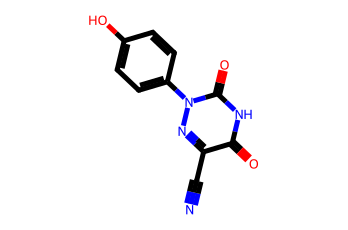 N#Cc1nn(-c2ccc(O)cc2)c(=O)[nH]c1=O